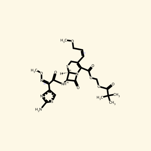 COC/C=C\C1=C(C(=O)OCOC(=O)C(C)(C)C)N2C(=O)[C@@H](NC(=O)/C(=N\OC)c3csc(N)n3)[C@H]2SC1